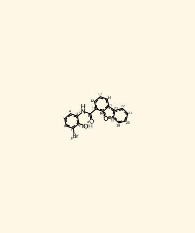 O=C(Nc1cccc(Br)c1O)c1cccc2c1oc1ccccc12